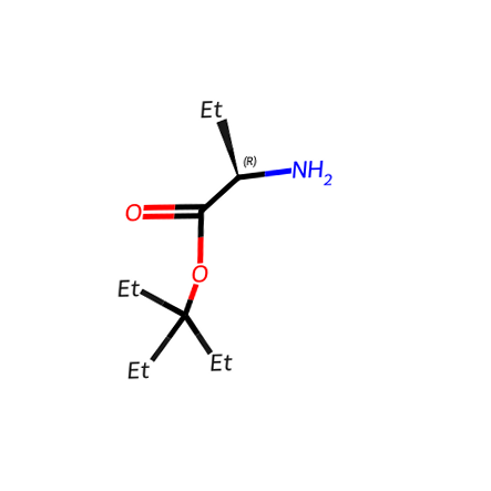 CC[C@@H](N)C(=O)OC(CC)(CC)CC